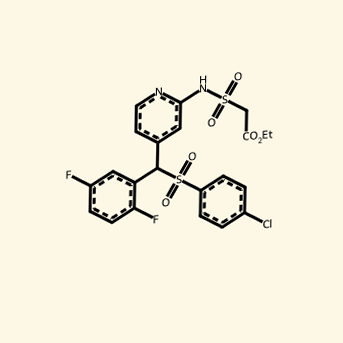 CCOC(=O)CS(=O)(=O)Nc1cc(C(c2cc(F)ccc2F)S(=O)(=O)c2ccc(Cl)cc2)ccn1